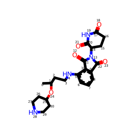 CC(CCNc1cccc2c1C(=O)N(C1CCC(=O)NC1=O)C2=O)OC1CCNCC1